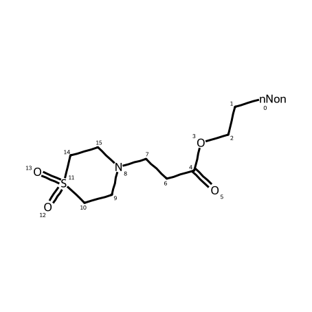 CCCCCCCCCCCOC(=O)CCN1CCS(=O)(=O)CC1